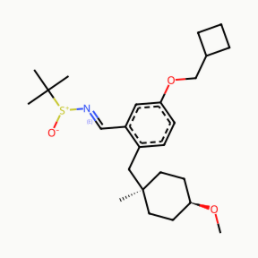 CO[C@H]1CC[C@@](C)(Cc2ccc(OCC3CCC3)cc2/C=N/[S+]([O-])C(C)(C)C)CC1